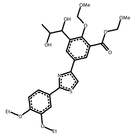 CCOc1ccc(-c2nc(-c3cc(C(=O)OCOC)c(OCOC)c(C(O)C(C)O)c3)cs2)cc1OCC